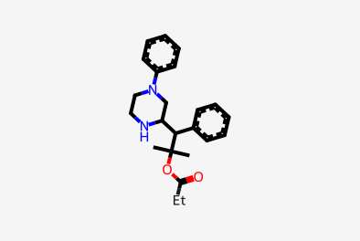 CCC(=O)OC(C)(C)C(c1ccccc1)C1CN(c2ccccc2)CCN1